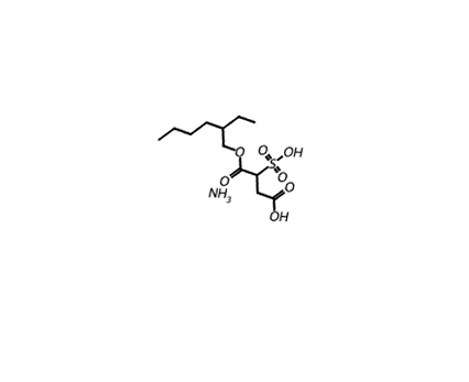 CCCCC(CC)COC(=O)C(CC(=O)O)S(=O)(=O)O.N